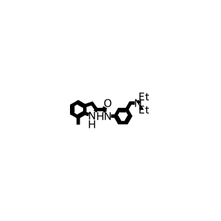 CCN(CC)Cc1cccc(NC(=O)C2Cc3cccc(C)c3N2)c1